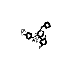 O=S(=O)(NC1(c2cc(F)ccc2F)CCN(Cc2ccccc2)CC1)c1ccc(OC(F)(F)F)cc1